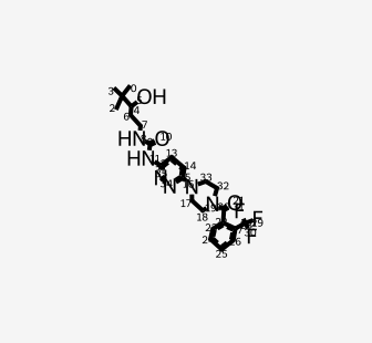 CC(C)(C)C(O)CCNC(=O)Nc1ccc(N2CCN(C(=O)c3ccccc3C(F)(F)F)CC2)nn1